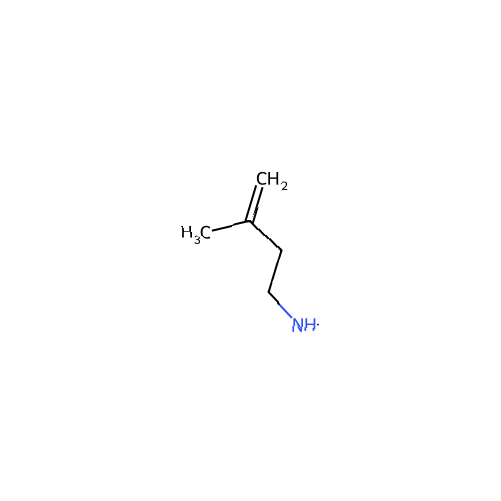 C=C(C)CC[NH]